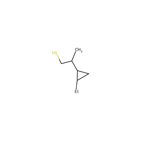 CCC1CC1C(C)CS